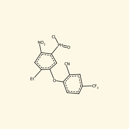 CCc1cc([N+](=O)[O-])c([PH](=O)Cl)cc1Oc1ccc(C(F)(F)F)cc1C#N